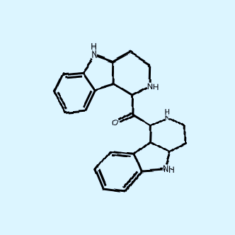 O=C(C1NCCC2Nc3ccccc3C21)C1NCCC2Nc3ccccc3C21